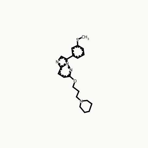 CSc1cccc(-c2cnc3ccc(OCCCN4CCCCC4)nn23)c1